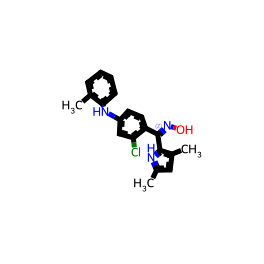 Cc1cc(C)c(/C(=N\O)c2ccc(Nc3ccccc3C)cc2Cl)[nH]1